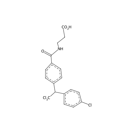 O=C(O)CCNC(=O)c1ccc(C(c2ccc(Cl)cc2)C(Cl)(Cl)Cl)cc1